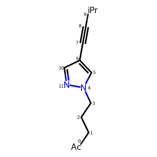 CC(=O)CCCn1cc(C#CC(C)C)cn1